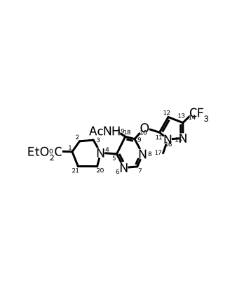 CCOC(=O)C1CCN(c2ncnc(Oc3cc(C(F)(F)F)nn3C)c2NC(C)=O)CC1